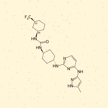 Cc1cc(Nc2ccnc(N[C@H]3CC[C@H](NC(=O)N[C@@H]4CCC[C@H](C(F)(F)F)C4)CC3)n2)n[nH]1